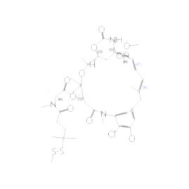 COc1cc2cc(c1Cl)N(C)C(=O)C[C@H](OC(=O)[C@@H](C)N(C)C(=O)CCC(C)(C)SSC)C(C)(C)OC(C)[C@@H]1C[C@@](O)(NC(=O)O1)[C@H](OC)/C=C/C=C(\C)C2